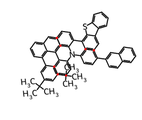 CC(C)(C)c1cc(-c2cccc3cccc(-c4ccccc4N(c4ccc(-c5ccc6ccccc6c5)cc4)c4ccccc4-c4cccc5c4sc4ccccc45)c23)cc(C(C)(C)C)c1